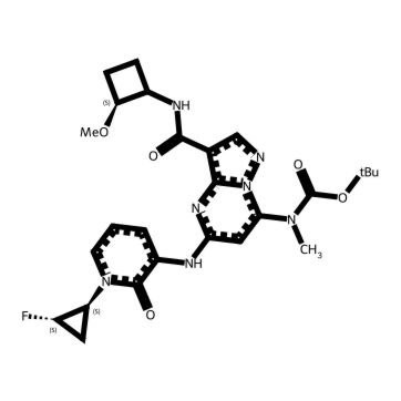 CO[C@H]1CCC1NC(=O)c1cnn2c(N(C)C(=O)OC(C)(C)C)cc(Nc3cccn([C@H]4C[C@@H]4F)c3=O)nc12